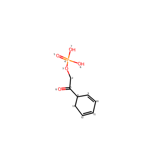 O=C(COP(=O)(O)O)C1C=CC=CC1